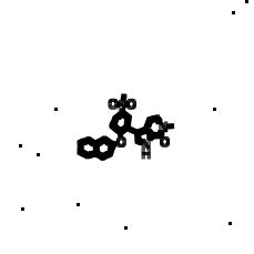 Cn1ccc2c(-c3cc(S(C)(=O)=O)ccc3Oc3ccc4ccccc4c3)c[nH]c2c1=O